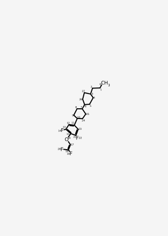 CCCC1CCC(C2CCC(c3cc(F)c(OC=C(F)F)c(F)c3)CC2)CC1